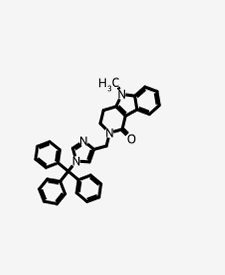 Cn1c2c(c3ccccc31)C(=O)N(Cc1cn(C(c3ccccc3)(c3ccccc3)c3ccccc3)cn1)CC2